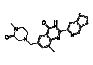 Cc1cc(CN2CCN(C)C(=O)C2)cc2c(=O)[nH]c(-c3cc4sccc4cn3)nc12